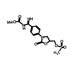 COC(=O)NC(=N)c1ccc(N2CC(COS(C)(=O)=O)OC2=O)cc1